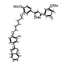 COc1ccc(-c2cc(-c3cc(C)c(C)c(OC)c3)no2)cc1OCCCCCOc1ccc(-c2nc3ccccc3s2)cc1C